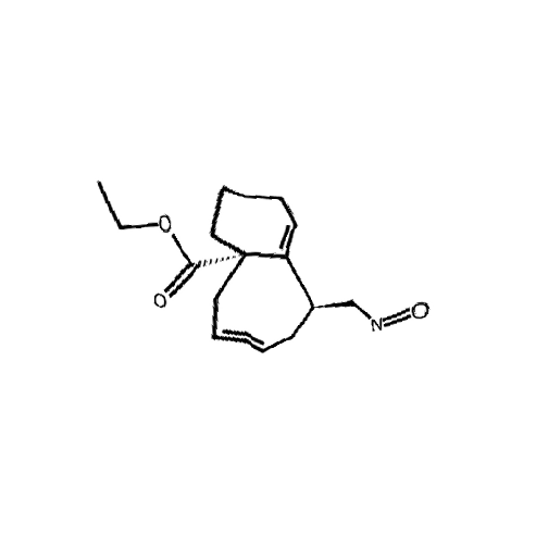 CCOC(=O)[C@@]12CC=CC[C@H](CN=O)C1=CCCC2